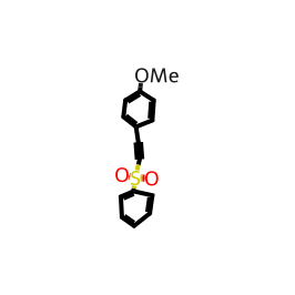 COc1ccc(C#CS(=O)(=O)c2ccccc2)cc1